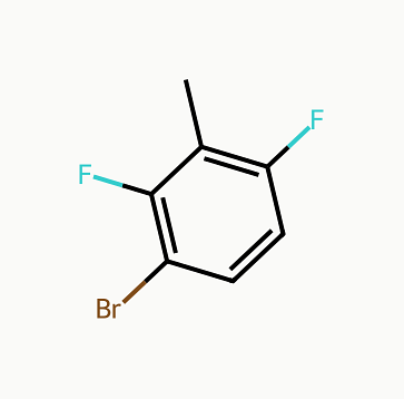 Cc1c(F)ccc(Br)c1F